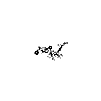 CCCC(NC(=O)C[C@H]1CCC[C@H]1CNC(=O)[C@@H](NC(=O)[C@H](NC(=O)CCCC/C(N)=N/N=N)C(C)C)C(C)C)C(=O)C(=O)N[C@H](Cc1ccccc1)C(=O)O